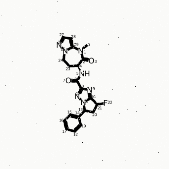 CN1C(=O)[C@@H](NC(=O)c2nc3n(n2)C(c2ccccc2)CC3F)CCn2nccc21